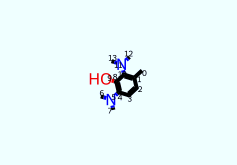 Cc1ccc(N(C)C)c(O)c1N(C)C